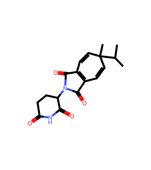 CC(C)C1(C)C=CC2=C(C=C1)C(=O)N(C1CCC(=O)NC1=O)C2=O